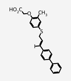 Cc1cc(SC/C=C(\I)c2ccc(-c3ccccc3)cc2)ccc1OCC(=O)O